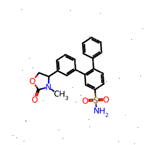 CN1C(=O)OCC1c1cccc(-c2cc(S(N)(=O)=O)ccc2-c2ccccc2)c1